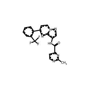 Cc1nccc(C(=O)Nc2cnn3ccc(-c4ccccc4C(F)(F)F)nc23)n1